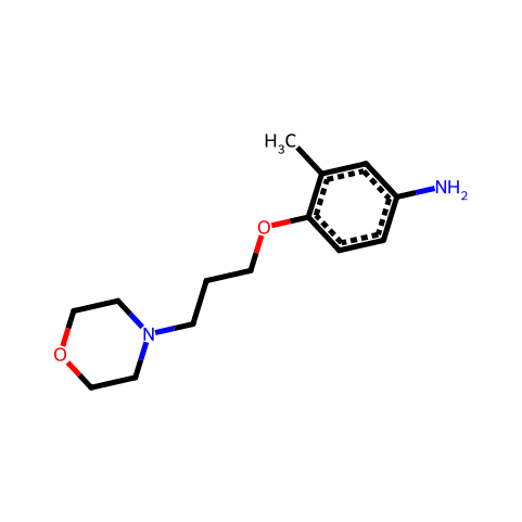 Cc1cc(N)ccc1OCCCN1CCOCC1